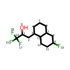 OC(CC1CCCC2CC(F)CCC21)C(F)(F)F